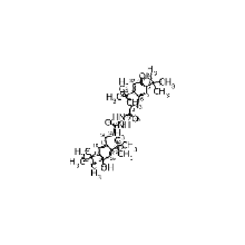 CC(C)(C)c1cc(CCC(=O)NNC(=O)CCc2cc(C(C)(C)C)c(O)cc2C(C)(C)C)c(C(C)(C)C)cc1O